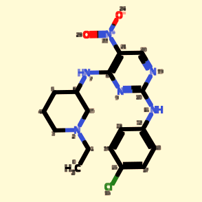 CCN1CCCC(Nc2nc(Nc3ccc(Cl)cc3)ncc2[N+](=O)[O-])C1